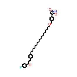 O=C1C=C(c2ccc(COCCCCCCCCCCCCCCCCCCc3ccc(C=CC(=O)c4ccc(F)cc4)cc3)cc2)C(=O)N1